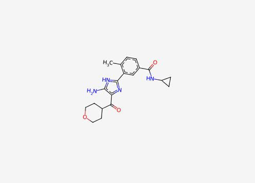 Cc1ccc(C(=O)NC2CC2)cc1-c1nc(C(=O)C2CCOCC2)c(N)[nH]1